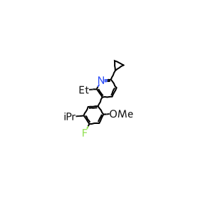 CCc1nc(C2CC2)ccc1-c1cc(C(C)C)c(F)cc1OC